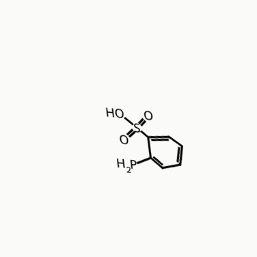 O=S(=O)(O)c1ccccc1P